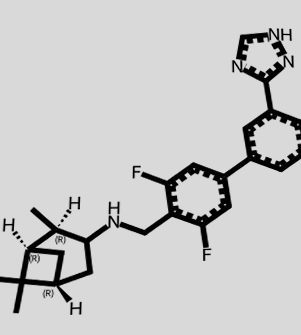 C[C@H]1C(NCc2c(F)cc(-c3cccc(-c4nc[nH]n4)c3)cc2F)C[C@H]2C[C@H]1C2(C)C